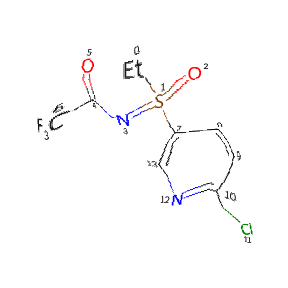 CCS(=O)(=NC(=O)C(F)(F)F)c1ccc(Cl)nc1